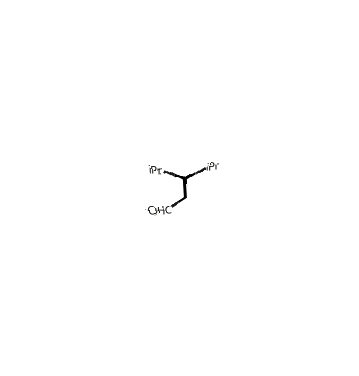 CC(C)C(C[C]=O)C(C)C